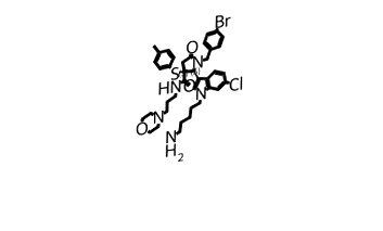 Cc1ccc(S[C@@]2(C(=O)NCCCN3CCOCC3)CC(=O)N(Cc3ccc(Br)cc3)[C@H]2c2cn(CCCCCN)c3cc(Cl)ccc23)cc1